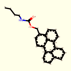 CCCCNC(=O)OCc1ccc2c3cccc4cccc(c5cccc1c52)c43